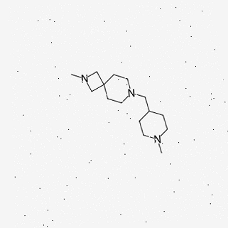 CN1CCC(CN2CCC3(CC2)CN(C)C3)CC1